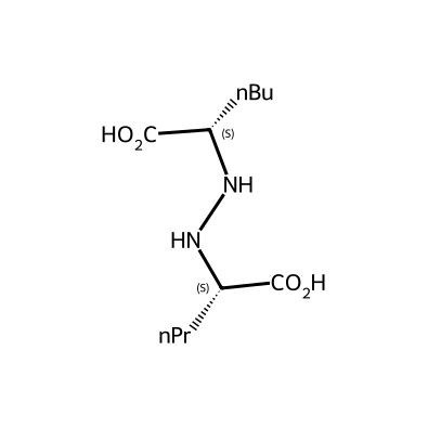 CCCC[C@H](NN[C@@H](CCC)C(=O)O)C(=O)O